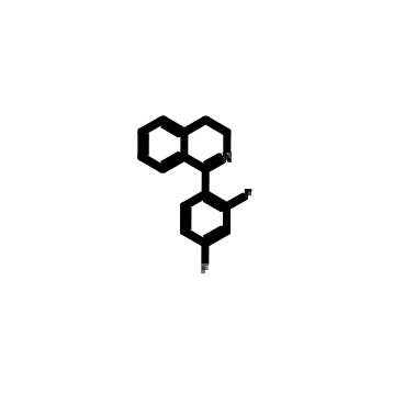 Fc1ccc(C2=NCCc3ccccc32)c(F)c1